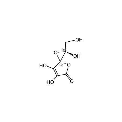 O=C1O[C@@]2(O[C@]2(O)CO)C(O)=C1O